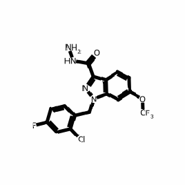 NNC(=O)c1nn(Cc2ccc(F)cc2Cl)c2cc(OC(F)(F)F)ccc12